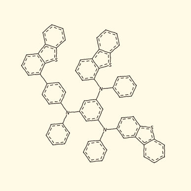 c1ccc(N(c2ccc(-c3cccc4c3sc3ccccc34)cc2)c2cc(N(c3ccccc3)c3ccc4sc5ccccc5c4c3)cc(N(c3ccccc3)c3cccc4c3sc3ccccc34)c2)cc1